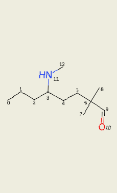 CCCC(CCC(C)(C)C=O)NC